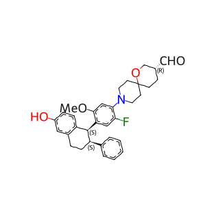 COc1cc(N2CCC3(CC[C@@H](C=O)CO3)CC2)c(F)cc1[C@@H]1c2ccc(O)cc2CC[C@@H]1c1ccccc1